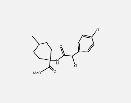 COC(=O)C1(NC(=O)C(Cl)c2ccc(Cl)cc2)CCN(C)CC1